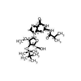 CO[C@@H]1C(O[Si](C)(C)C(C)(C)C)[C@@H](CO)O[C@H]1n1cnc2c(=O)[nH]c(NC(=O)C(C)C)nc21